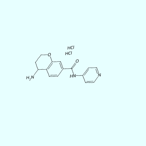 Cl.Cl.NC1CCOc2cc(C(=O)Nc3ccncc3)ccc21